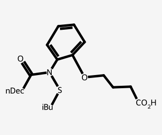 CCCCCCCCCCC(=O)N(SC(C)CC)c1ccccc1OCCCC(=O)O